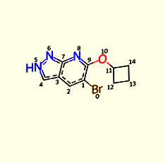 Brc1cc2c[nH]nc2nc1OC1CCC1